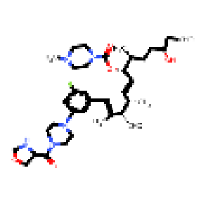 C/C(=C\c1cc(F)cc(N2CCN(C(=O)C3COCN3)CC2)c1)[C@@H](C=O)[C@@H](C)/C=C/[C@H](OC(=O)N1CCN(C)CC1)[C@@H](C)CC[C@@H](O)CC=O